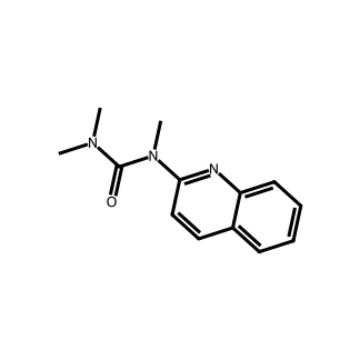 CN(C)C(=O)N(C)c1ccc2ccccc2n1